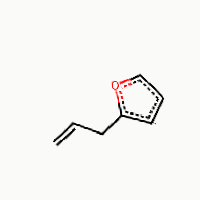 C=CCc1[c]cco1